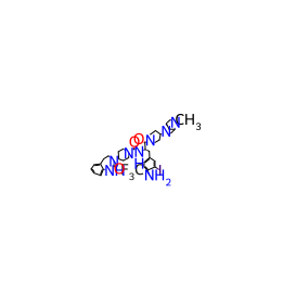 CN1CC2CC1CN2C1CCN(C(=O)[C@@H](Cc2cc(I)c(N)c(C(F)(F)F)c2)NC(=O)N2CCC(N3CCc4ccccc4NC3=O)CC2)CC1